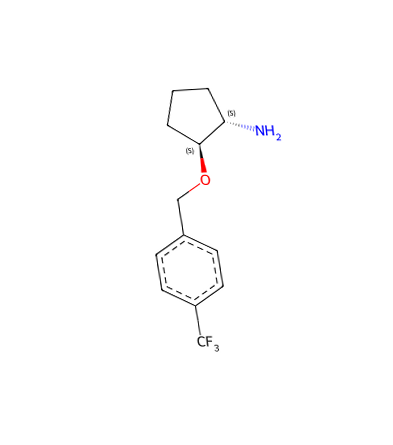 N[C@H]1CCC[C@@H]1OCc1ccc(C(F)(F)F)cc1